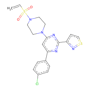 C=CS(=O)(=O)N1CCN(c2cc(-c3ccc(Cl)cc3)nc(-c3ccsn3)n2)CC1